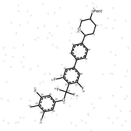 CCCCCC1CCC(c2ccc(-c3cc(F)c(C(F)(F)Oc4cc(F)c(C)c(F)c4)c(F)c3)cc2)OC1